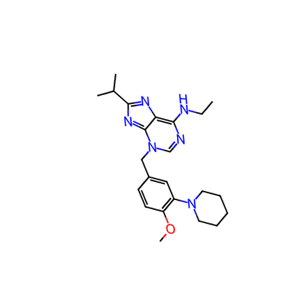 CCNc1ncn(Cc2ccc(OC)c(N3CCCCC3)c2)c2nc(C(C)C)nc1-2